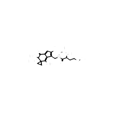 CON(CC1=C(C)C=C2C(=O)[C@](C)(O)C3(CC3)C(C)=C21)C(=O)C(N)CCSC